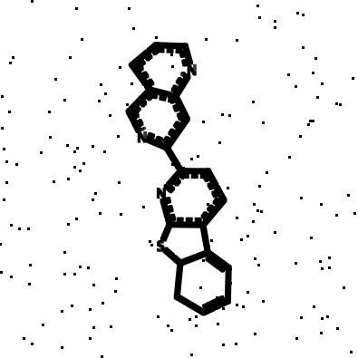 C1=CCC2Sc3nc(-c4cc5ncccc5cn4)ccc3C2=C1